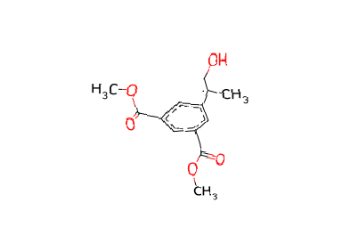 COC(=O)c1cc([C](C)CO)cc(C(=O)OC)c1